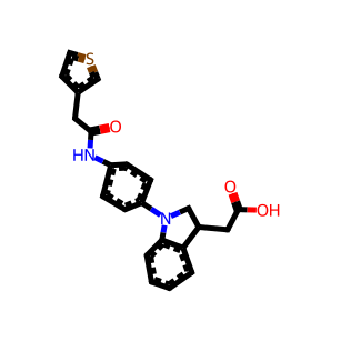 O=C(O)CC1CN(c2ccc(NC(=O)Cc3ccsc3)cc2)c2ccccc21